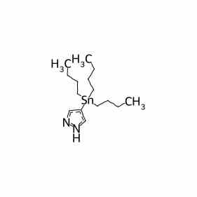 CCC[CH2][Sn]([CH2]CCC)([CH2]CCC)[c]1cn[nH]c1